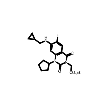 CCOC(=O)Cn1c(=O)c2cc(F)c(NCC3CC3)cc2n(C2CCCC2)c1=O